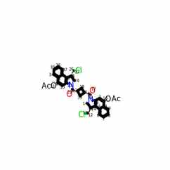 CC(=O)Oc1cc2c(c3ccccc13)[C@H](CCl)CN2C(=O)[C@H]1C[C@@H](C(=O)N2C[C@@H](CCl)c3c2cc(OC(C)=O)c2ccccc32)C1